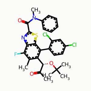 CC(=O)[C@@H](OC(C)(C)C)c1c(C)c(F)c2nc(C(=O)N(C)c3ccccc3)sc2c1-c1ccc(Cl)cc1Cl